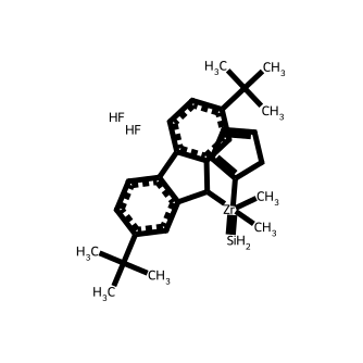 CC(C)(C)c1ccc2c(c1)[CH]([Zr]([CH3])([CH3])(=[SiH2])[C]1=CC=CC1)c1cc(C(C)(C)C)ccc1-2.F.F